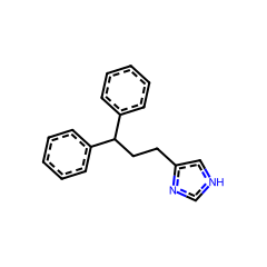 c1ccc(C(CCc2c[nH]cn2)c2ccccc2)cc1